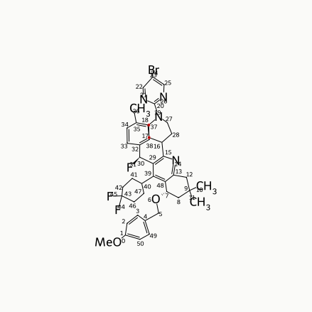 COc1ccc(CO[C@H]2CC(C)(C)Cc3nc(C4CCN(c5ncc(Br)cn5)CC4)c([C@@H](F)c4ccc(C)cc4)c(C4CCC(F)(F)CC4)c32)cc1